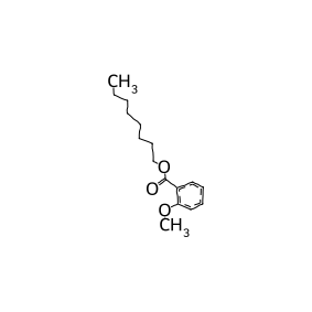 CCCCCCCCOC(=O)c1ccccc1OC